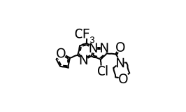 O=C(c1nn2c(C(F)(F)F)cc(-c3ccco3)nc2c1Cl)N1CCOCC1